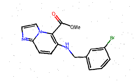 COC(=O)c1c(NCc2cccc(Br)c2)ccc2nccn12